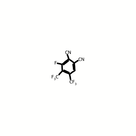 N#Cc1cc(C(F)(F)F)c(C(F)(F)F)c(F)c1C#N